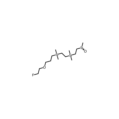 C[Si](=O)CC[Si](C)(C)CC[Si](C)(C)CCCOCCF